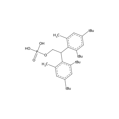 Cc1cc(C(C)(C)C)cc(C(C)(C)C)c1C(COP(=O)(O)O)c1c(C)cc(C(C)(C)C)cc1C(C)(C)C